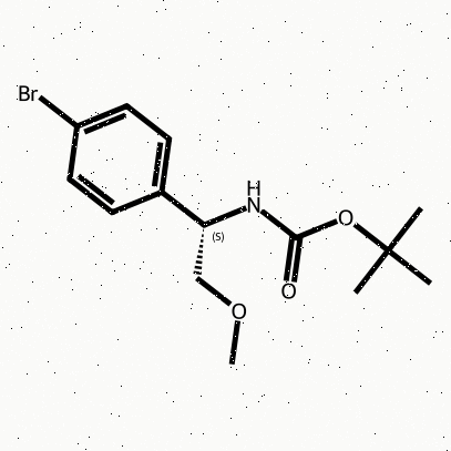 COC[C@@H](NC(=O)OC(C)(C)C)c1ccc(Br)cc1